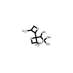 CCCC(C1([C]2OCC2C)OCC1C)[Si](O)(O)O